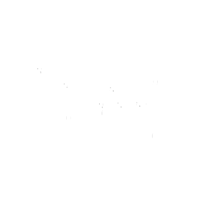 Cc1csc2nc(Nc3ccc(N4CCC(N5CCC5)CC4)c(CO)c3)nc(Nc3cccc(F)c3)c12